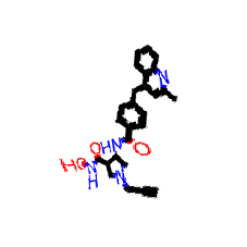 C#CCN1CC(C(=O)NO)[C@H](NC(=O)c2ccc(Cc3cc(C)nc4ccccc34)cc2)C1